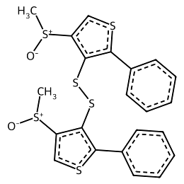 C[S+]([O-])c1csc(-c2ccccc2)c1SSc1c([S+](C)[O-])csc1-c1ccccc1